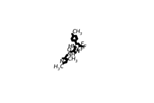 CCc1ccc(C2CC(C(F)(F)F)n3ncc(C(=O)NCc4cnc(C)cc4C)c3N2)cc1